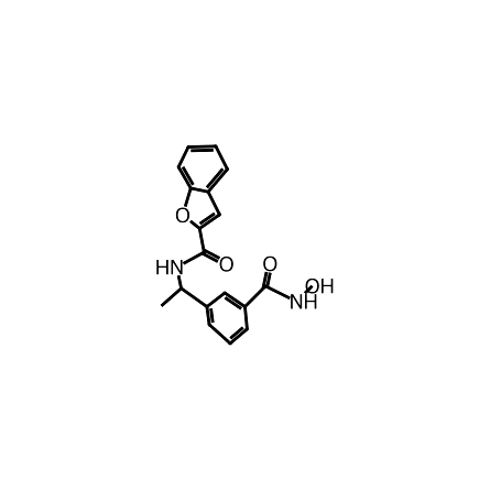 CC(NC(=O)c1cc2ccccc2o1)c1cccc(C(=O)NO)c1